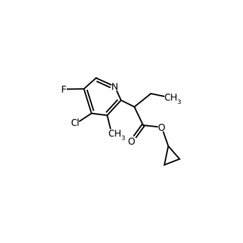 CCC(C(=O)OC1CC1)c1ncc(F)c(Cl)c1C